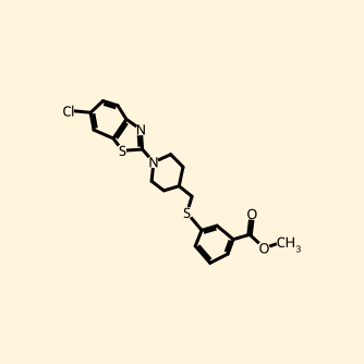 COC(=O)c1cccc(SCC2CCN(c3nc4ccc(Cl)cc4s3)CC2)c1